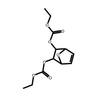 CCOC(=O)OC1C2C=CC(O2)C1OC(=O)OCC